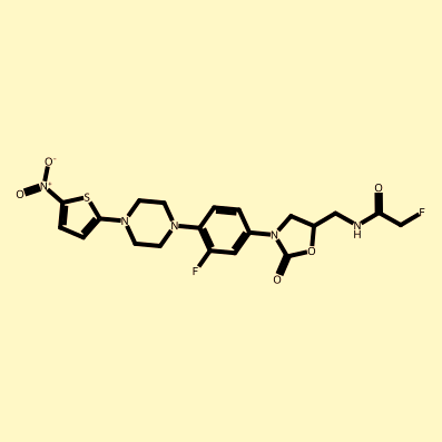 O=C(CF)NCC1CN(c2ccc(N3CCN(c4ccc([N+](=O)[O-])s4)CC3)c(F)c2)C(=O)O1